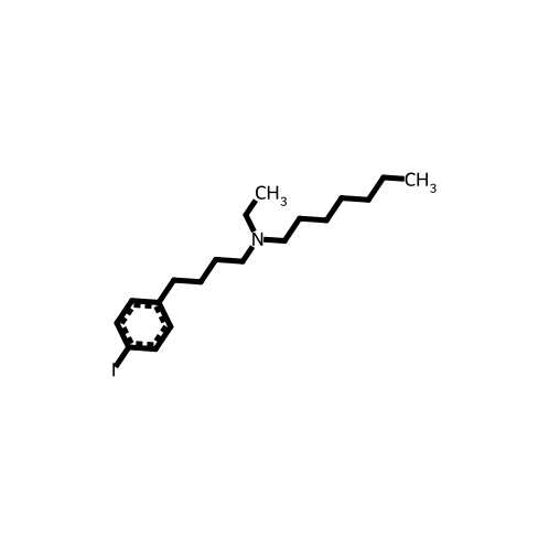 CCCCCCCN(CC)CCCCc1ccc(I)cc1